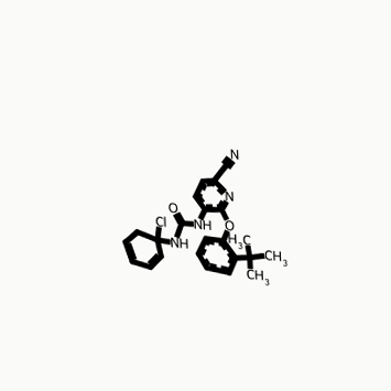 CC(C)(C)c1ccccc1Oc1nc(C#N)ccc1NC(=O)NC1(Cl)C=CC=CC1